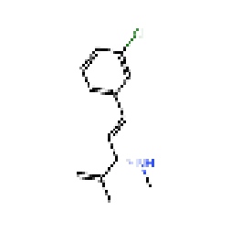 C=C(C)[C@H](C=Cc1cccc(Cl)c1)NC